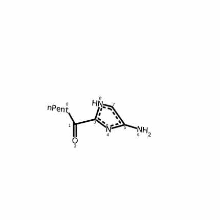 CCCCCC(=O)c1nc(N)c[nH]1